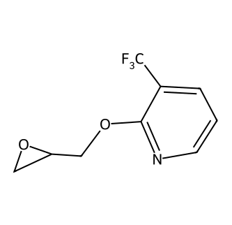 FC(F)(F)c1cccnc1OCC1CO1